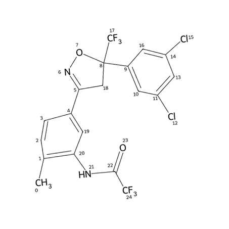 Cc1ccc(C2=NOC(c3cc(Cl)cc(Cl)c3)(C(F)(F)F)C2)cc1NC(=O)C(F)(F)F